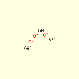 [Ag+].[LiH].[O-2].[O-2].[O-2].[V+5]